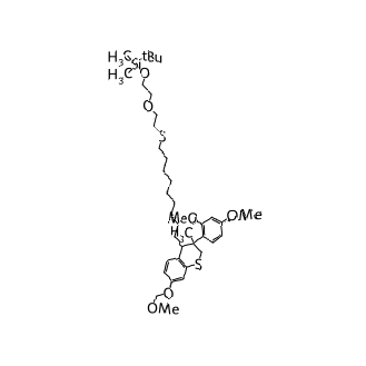 COCOc1ccc2c(c1)SCC(C)(c1ccc(OC)cc1OC)C2CCCCCCCCCSCCOCCO[Si](C)(C)C(C)(C)C